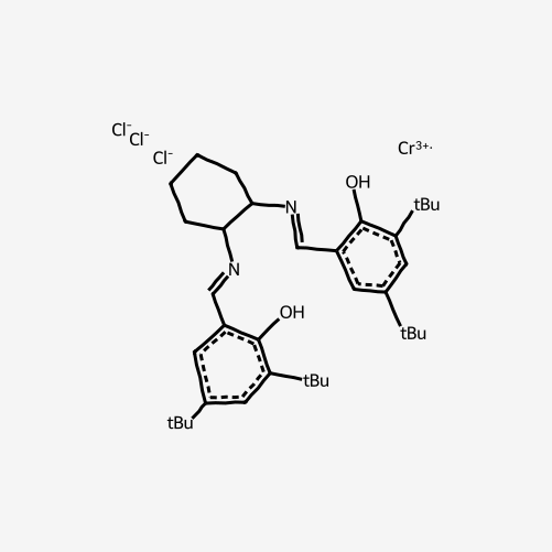 CC(C)(C)c1cc(C=NC2CCCCC2N=Cc2cc(C(C)(C)C)cc(C(C)(C)C)c2O)c(O)c(C(C)(C)C)c1.[Cl-].[Cl-].[Cl-].[Cr+3]